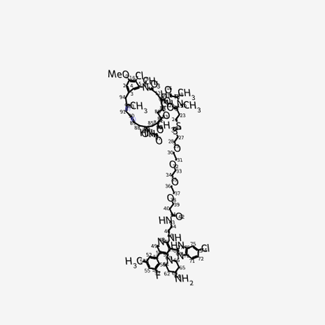 COc1cc2cc(c1Cl)N(C)C(=O)C[C@H](OC(=O)[C@@H](C)N(C)C(=O)CCSSCCOCCOCCOCCOCCC(=O)NCCNc1ncc(-c3cc(C)cc(F)c3)c(N3CCC(N)CC3)c1-c1nc3ccc(Cl)cc3[nH]1)[C@@]1(C)CC(C)(O1)C1C[C@](O)(C/C=C/C=C(\C)C2)NC(=O)O1